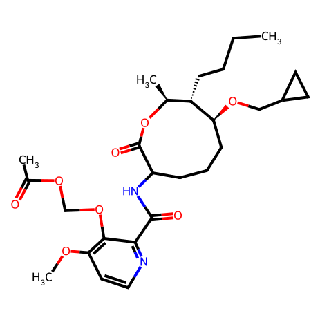 CCCC[C@H]1[C@H](C)OC(=O)C(NC(=O)c2nccc(OC)c2OCOC(C)=O)CCC[C@@H]1OCC1CC1